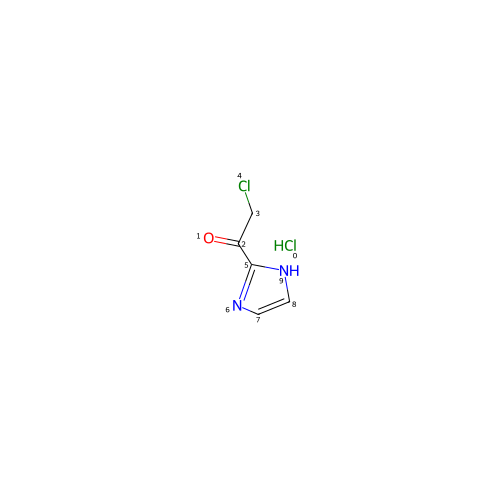 Cl.O=C(CCl)c1ncc[nH]1